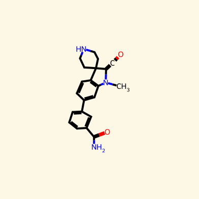 CN1C(=C=O)C2(CCNCC2)c2ccc(-c3cccc(C(N)=O)c3)cc21